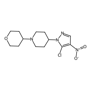 O=[N+]([O-])c1cnn(C2CCN(C3CCOCC3)CC2)c1Cl